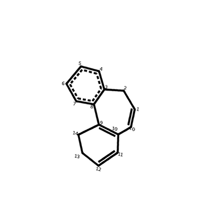 [C]1=CCc2ccccc2C2=C1C=CCC2